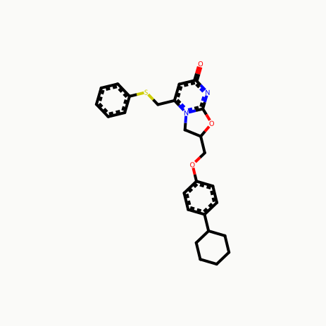 O=c1cc(CSc2ccccc2)n2c(n1)OC(COc1ccc(C3CCCCC3)cc1)C2